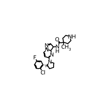 CC1(C(=O)NC2C=NN3C=CC(N4CCC[C@@H]4c4cc(F)ccc4Cl)=NC23)CCNCC1